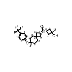 CC1(Oc2ccc(C(F)(F)F)cn2)CCC2(CC1)CN(C(=O)[C@H]1C[C@@](C)(O)C1)C2